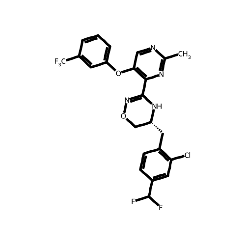 Cc1ncc(Oc2cccc(C(F)(F)F)c2)c(C2=NOC[C@@H](Cc3ccc(C(F)F)cc3Cl)N2)n1